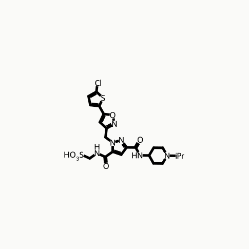 CC(C)N1CCC(NC(=O)c2cc(C(=O)NCS(=O)(=O)O)n(Cc3cc(-c4ccc(Cl)s4)on3)n2)CC1